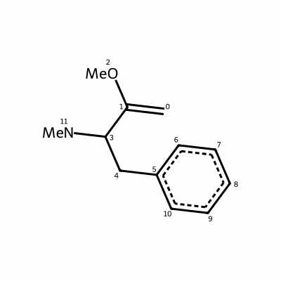 C=C(OC)C(Cc1ccccc1)NC